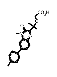 Cc1ccc(-c2ccc3nc(C(C)(C)OCC(=O)O)c(=O)n(C)c3c2)cc1